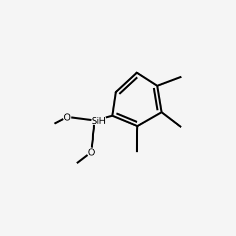 CO[SiH](OC)c1ccc(C)c(C)c1C